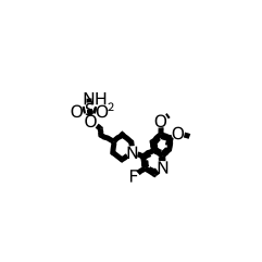 COc1cc2ncc(F)c(N3CCC(CCOS(N)(=O)=O)CC3)c2cc1OC